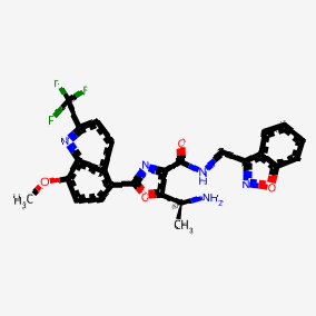 COc1ccc(-c2nc(C(=O)NCc3noc4ccccc34)c([C@H](C)N)o2)c2ccc(C(F)(F)F)nc12